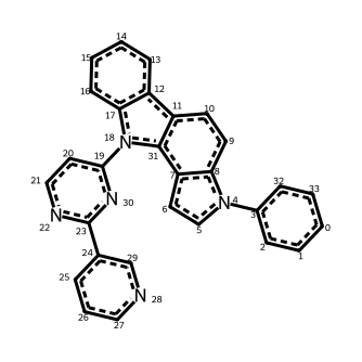 c1ccc(-n2ccc3c2ccc2c4ccccc4n(-c4ccnc(-c5cccnc5)n4)c23)cc1